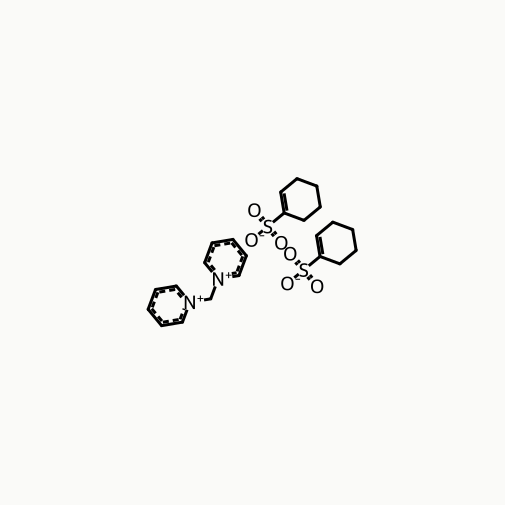 O=S(=O)([O-])C1=CCCCC1.O=S(=O)([O-])C1=CCCCC1.c1cc[n+](C[n+]2ccccc2)cc1